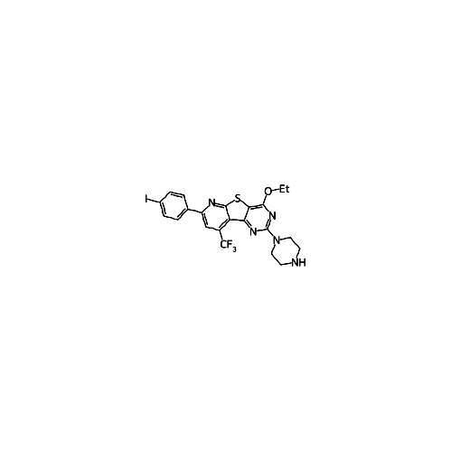 CCOc1nc(N2CCNCC2)nc2c1sc1nc(-c3ccc(I)cc3)cc(C(F)(F)F)c12